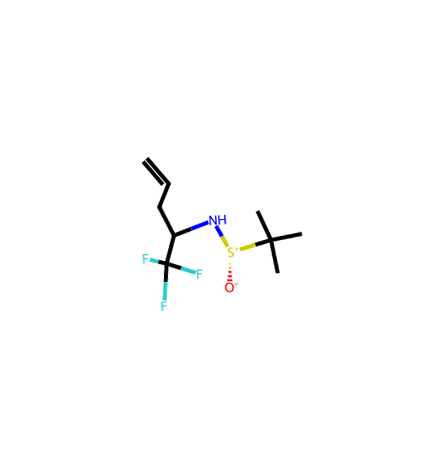 C=CCC(N[S@@+]([O-])C(C)(C)C)C(F)(F)F